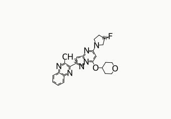 Cc1nc2ccccc2nc1-c1cc2nc(N3CC[C@@H](F)C3)cc(OC3CCOCC3)n2n1